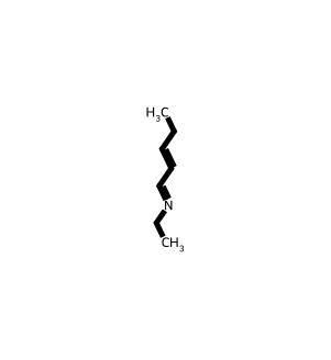 CCC=CC=NCC